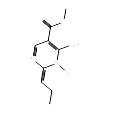 CC/C=C1/N=CC(C(=O)OC)=C(N)N1N